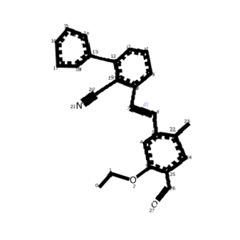 CCOc1cc(/C=C/c2cccc(-c3ccccc3)c2C#N)c(C)cc1C=O